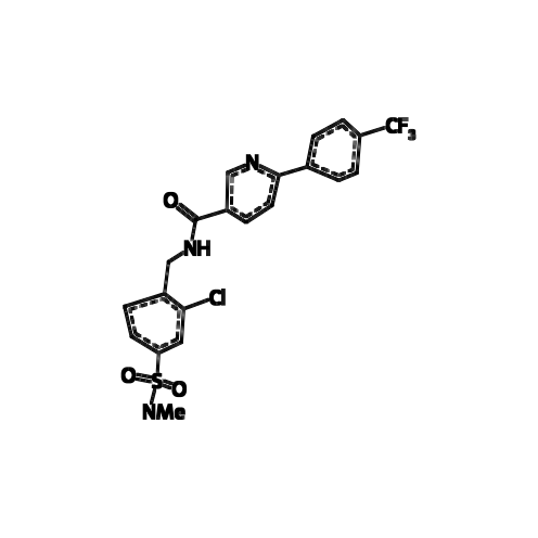 CNS(=O)(=O)c1ccc(CNC(=O)c2ccc(-c3ccc(C(F)(F)F)cc3)nc2)c(Cl)c1